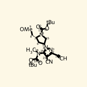 C#Cc1nn([C@H]2C[C@H](COC)N(C(=O)OC(C)(C)C)C2)c(N(C)C(=O)OC(C)(C)C)c1C#N